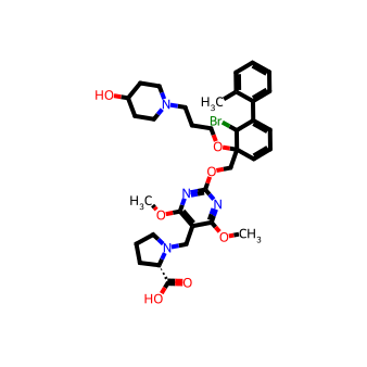 COc1nc(OCC2(OCCCN3CCC(O)CC3)C=CC=C(c3ccccc3C)C2Br)nc(OC)c1CN1CCC[C@H]1C(=O)O